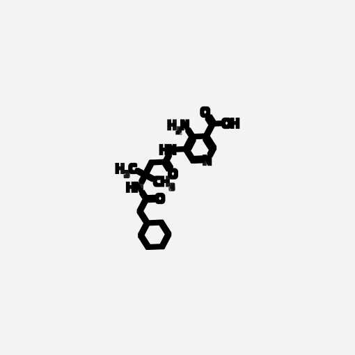 CC(C)(CC(=O)Nc1cncc(C(=O)O)c1N)NC(=O)CC1CCCCC1